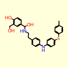 Cc1ccc(Sc2ccc(Nc3ccc(CCNC(O)c4ccc(O)c(CO)c4)cc3)cc2)cc1